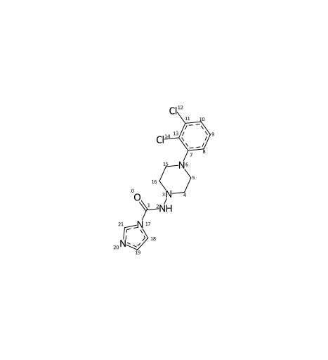 O=C(NN1CCN(c2cccc(Cl)c2Cl)CC1)n1ccnc1